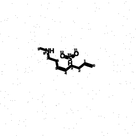 C=CCC(/C=C\CCNC)[SH](=O)=O